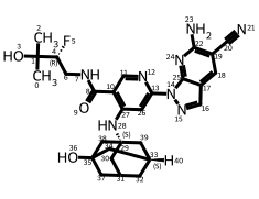 CC(C)(O)[C@H](F)CNC(=O)c1cnc(-n2ncc3cc(C#N)c(N)nc32)cc1N[C@]12CC3C[C@H](CC(O)(C3)C1)C2